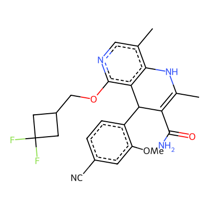 COc1cc(C#N)ccc1C1C(C(N)=O)=C(C)Nc2c(C)cnc(OCC3CC(F)(F)C3)c21